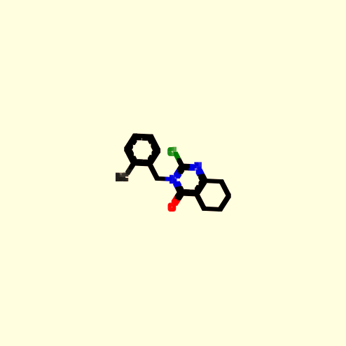 N#Cc1ccccc1Cn1c(Cl)nc2c(c1=O)CCCC2